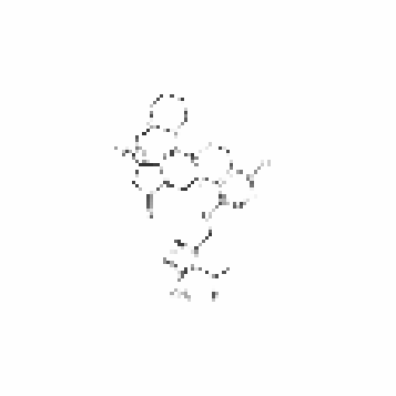 C[C@@H]1CC(=O)N(C[C@@H]2c3c(OCc4nnn(C)c4C(F)F)ccc(Cl)c3CCN2C(=O)[C@H]2CCCC[C@@H]2C)C1